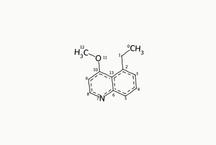 CCc1cccc2nccc(OC)c12